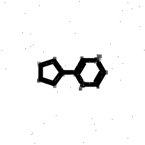 C1=COC(C2CCCC2)=C[N]1